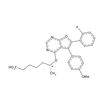 COc1ccc(-c2c(-c3ccccc3F)oc3ncnc(O[C@H](C)CCCCC(=O)O)c23)cc1